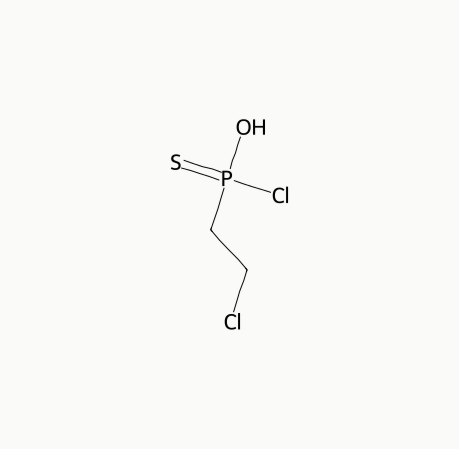 OP(=S)(Cl)CCCl